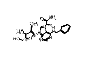 CC(C(N)=O)N1CN([C@@H]2O[C@H](CO)C(O)C2O)c2ncnc(NCc3ccccc3)c21